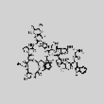 CC(C)C[C@@H]1NC(=O)[C@H](Cc2ccc(O)cc2)N[C@H](CNC(=O)[C@H](C)NC(=O)[C@H](CO)NC(=O)[C@H](CC(N)=O)NC(=O)[C@H](CC(C)C)NC(=O)[C@@H](NC(=O)[C@H](Cc2c[nH]c3ccccc23)NC(=O)CN)[C@@H](C)O)CCN(CC(=O)N2CCC[C@H]2C(=O)N[C@@H](CC2C=NC=N2)C(=O)N[C@@H](C)C(=O)N[C@H](C(N)=O)C(C)C)C(=O)[C@H](CC(C)C)NC1=O